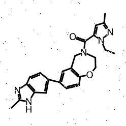 CCn1nc(C)cc1C(=O)N1CCOc2ccc(-c3ccc4nc(C)[nH]c4c3)cc2C1